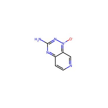 Nc1nc2ccncc2[n+]([O-])n1